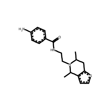 CC1Cc2sccc2C(C)N1CCNC(=O)c1ccc(N)cc1